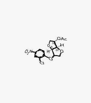 CC(=O)O[C@H]1CO[C@@H]2C(Oc3ccc([N+](=O)[O-])cc3Cl)CO[C@H]12